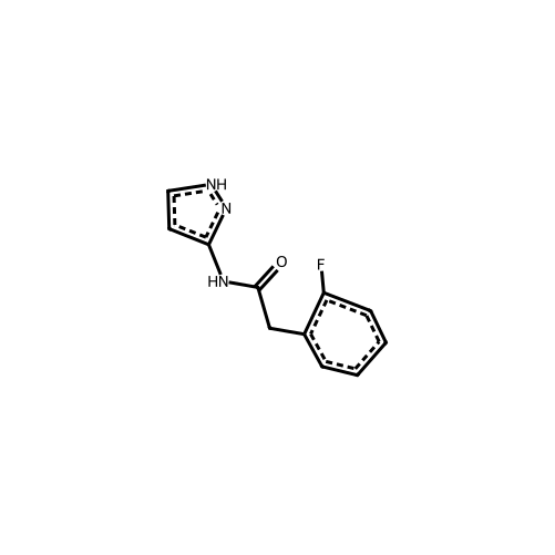 O=C(Cc1ccccc1F)Nc1cc[nH]n1